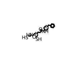 O=C(CN(CCS)CCC(=O)NC1CCN(Cc2ccccc2)CC1)NCCS